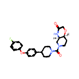 O=C1CO[C@H]2CCN(C(=O)N3CCC(c4ccc(Oc5ccc(F)cc5)cc4)CC3)C[C@H]2N1